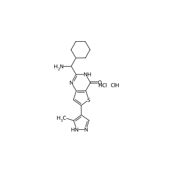 Cc1[nH]ncc1-c1cc2nc(C(N)C3CCCCC3)[nH]c(=O)c2s1.Cl.Cl